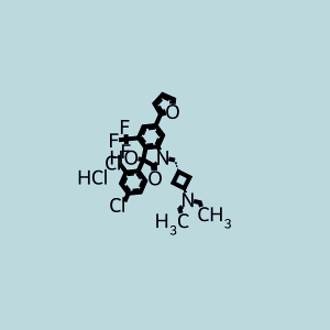 CCN(CC)[C@H]1C[C@H](CN2C(=O)C(O)(c3ccc(Cl)cc3Cl)c3c2cc(-c2ccco2)cc3C(F)(F)F)C1.Cl